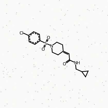 O=C(C=C1CCN(S(=O)(=O)c2ccc(Cl)cc2)CC1)NCC1CC1